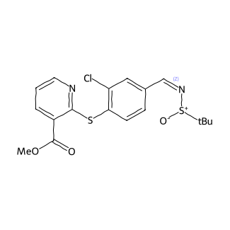 COC(=O)c1cccnc1Sc1ccc(/C=N\[S+]([O-])C(C)(C)C)cc1Cl